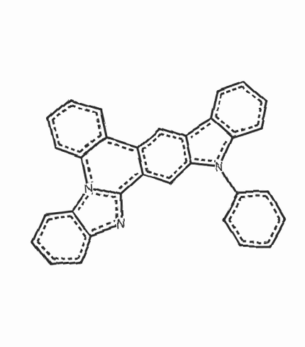 c1ccc(-n2c3ccccc3c3cc4c5ccccc5n5c6ccccc6nc5c4cc32)cc1